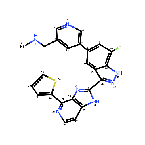 CCNCc1cncc(-c2cc(F)c3[nH]nc(-c4nc5c(-c6cccs6)nccc5[nH]4)c3c2)c1